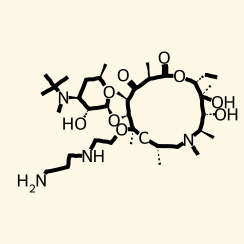 CC[C@H]1OC(=O)[C@H](C)C(=O)[C@H](C)[C@@H](O[C@@H]2O[C@H](C)C[C@H](N(C)C(C)(C)C)[C@H]2O)[C@](C)(OCCNCCCN)C[C@@H](C)CN(C)[C@H](C)[C@@H](O)[C@]1(C)O